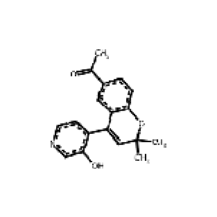 CC(=O)c1ccc2c(c1)C(c1ccncc1O)=CC(C)(C)O2